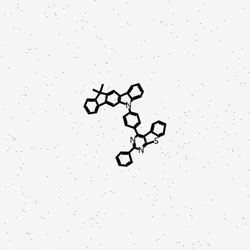 CC1(C)c2ccccc2-c2cc3c(cc21)c1ccccc1n3-c1ccc(-c2nc(-c3ccccc3)nc3sc4ccccc4c23)cc1